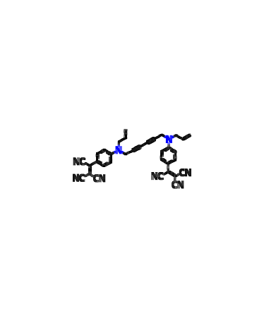 C=CCN(CC#CC#CCN(CC=C)c1ccc(C(C#N)=C(C#N)C#N)cc1)c1ccc(C(C#N)=C(C#N)C#N)cc1